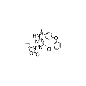 CC[C@H]1COC(=O)N1c1nc(CCl)nc(N[C@@H](C)c2ccc(Oc3ccccc3)cc2)n1